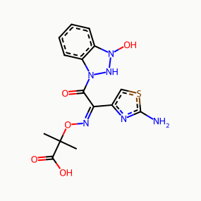 CC(C)(O/N=C(\C(=O)N1NN(O)c2ccccc21)c1csc(N)n1)C(=O)O